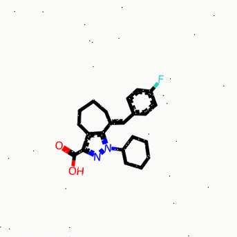 O=C(O)c1nn(C2CCCCC2)c2c1CCCC/C2=C\c1ccc(F)cc1